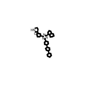 C1=Cc2c(oc3ccc(-c4nc(-c5ccc(-c6ccc(-c7ccccc7)cc6)cc5)nc(-c5cccc6ccccc56)n4)cc23)NC1